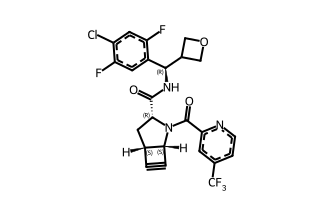 O=C(N[C@@H](c1cc(F)c(Cl)cc1F)C1COC1)[C@H]1C[C@H]2C#C[C@H]2N1C(=O)c1cc(C(F)(F)F)ccn1